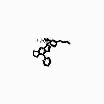 CCCCC1=C[CH]([Zr-6]([CH3])([CH3])([CH3])([CH3])(=[SiH2])(=[SiH2])[CH]2C=Cc3c2cc2c(c3-c3ccccc3)CCC2)C=C1